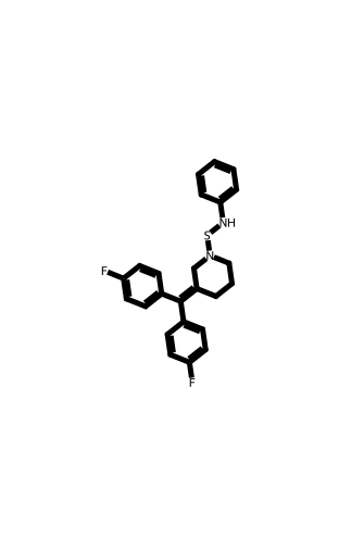 Fc1ccc(C(=C2CCCN(SNc3ccccc3)C2)c2ccc(F)cc2)cc1